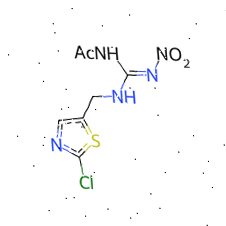 CC(=O)N/C(=N\[N+](=O)[O-])NCc1cnc(Cl)s1